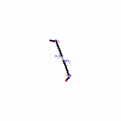 C=CC/C=C/N(C)C(=O)CCCCCCCC/C=C/C(N)CSSC[C@H](N)/C=C/CCCCCCCCC(=O)N(C)/C=C/CC=C